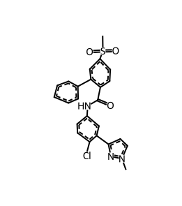 Cn1ccc(-c2cc(NC(=O)c3ccc(S(C)(=O)=O)cc3-c3ccccc3)ccc2Cl)n1